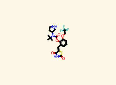 CC(C)(C)N(C(=O)Oc1c(C=C2SC(=O)NC2=O)cccc1OCC(F)(F)F)C1CCNC1